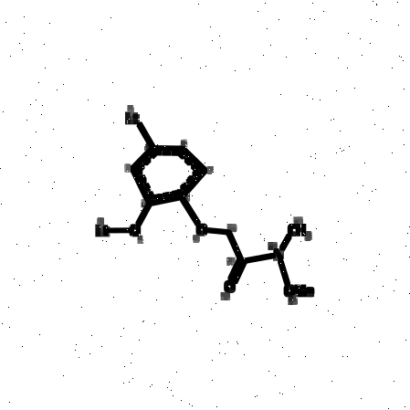 CCOc1cc(CC)ccc1OCC(=O)N(C)OC